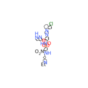 CCN1CCC2(CC1)CC(CNc1ccc(S(=O)(=O)NC(=O)c3ccc(N4CCN([C@@H]5CCCCc6c(Cl)cccc65)CC4)cc3Oc3cnc4[nH]ccc4c3)cc1[N+](=O)[O-])C2